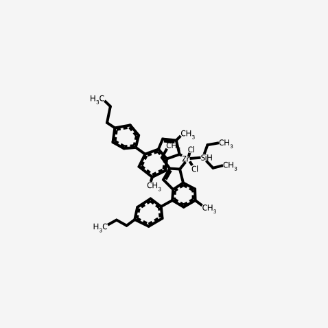 CCCc1ccc(-c2cc(C)cc3c2C=C(C)[CH]3[Zr]([Cl])([Cl])([CH]2C(CC)=Cc3c(-c4ccc(CCC)cc4)cc(C)cc32)[SiH](CC)CC)cc1